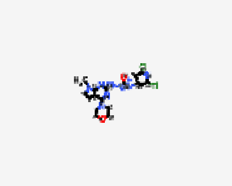 Cn1ccc2c(N3CCOCC3)nc(NNC(=O)Nc3cc(Cl)nc(Cl)c3)nc21